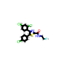 O=C(NCCF)c1nc(-c2ccc(Cl)cc2Cl)c(-c2ccc(Cl)cc2)s1